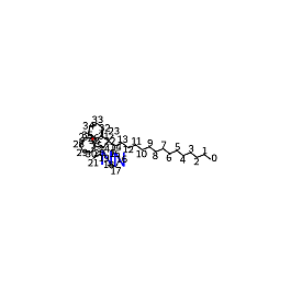 CCCCCCCCCCCCCCC(c1nccn1CC)C(C)(Cc1ccccc1)c1ccccc1